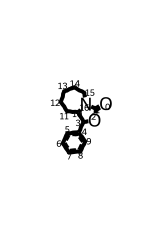 O=C1OC(c2ccccc2)C2CCCCCN12